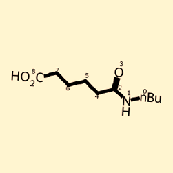 CCCCNC(=O)CCCCC(=O)O